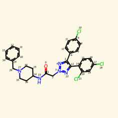 O=C(Cn1nc(-c2ccc(Cl)cc2)c(-c2ccc(Cl)cc2Cl)n1)NC1CCN(Cc2ccccc2)CC1